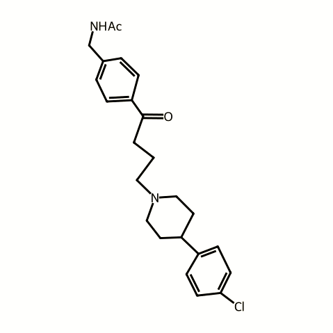 CC(=O)NCc1ccc(C(=O)CCCN2CCC(c3ccc(Cl)cc3)CC2)cc1